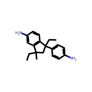 CCC1(C)CC(CC)(c2ccc(N)cc2)c2ccc(N)cc21